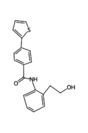 O=C(Nc1ccccc1CCO)c1ccc(-c2cccs2)cc1